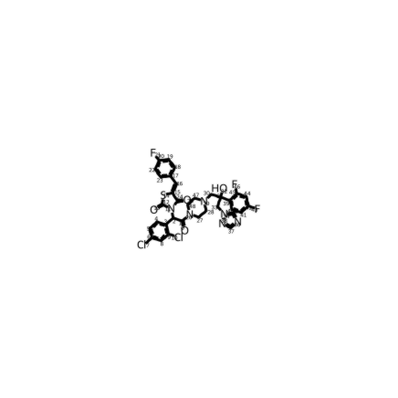 O=C(C(c1ccc(Cl)cc1Cl)N1C(=O)SC(=Cc2ccc(F)cc2)C1=O)N1CCN(CC(O)(Cn2cncn2)c2ccc(F)cc2F)CC1